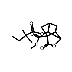 CCC(C)(C)C(=O)OC1C2CC3C1OC(=O)C3(C(=O)OC)C2